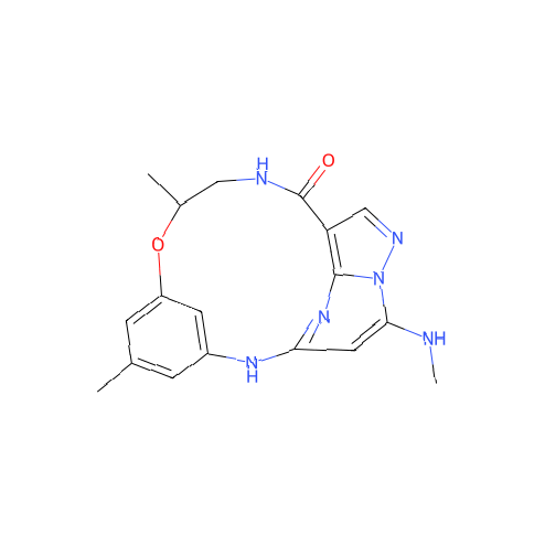 CNc1cc2nc3c(cnn13)C(=O)NCC(C)Oc1cc(C)cc(c1)N2